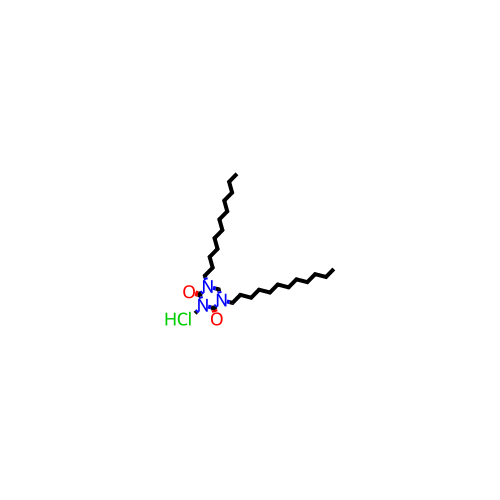 CCCCCCCCCCCCN1CN(CCCCCCCCCCCC)C(=O)N(C)C1=O.Cl